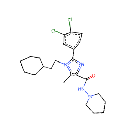 Cc1c(C(=O)NN2CCCCC2)nc(-c2ccc(Cl)c(Cl)c2)n1CCC1CCCCC1